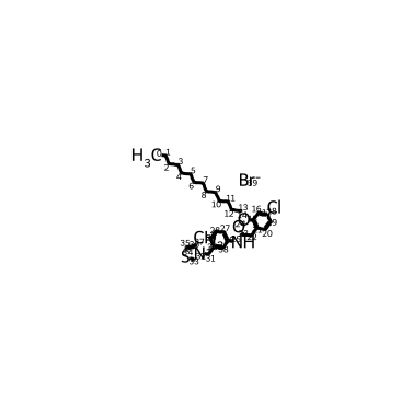 CCCCCCCCCCCCCCOc1cc(Cl)ccc1CC(=O)Nc1cccc(C[n+]2cscc2C)c1.[Br-]